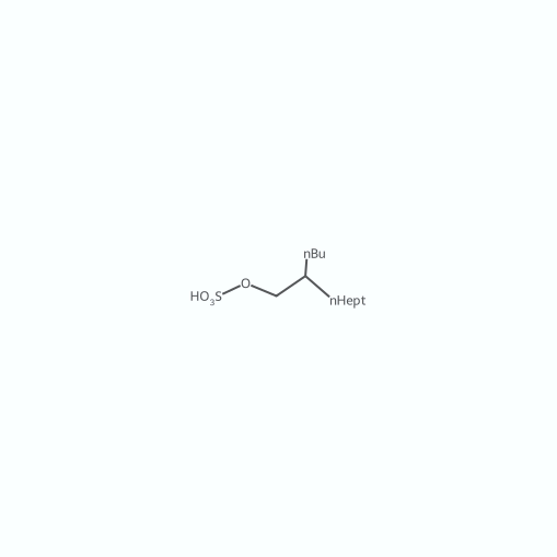 CCCCCCCC(CCCC)COS(=O)(=O)O